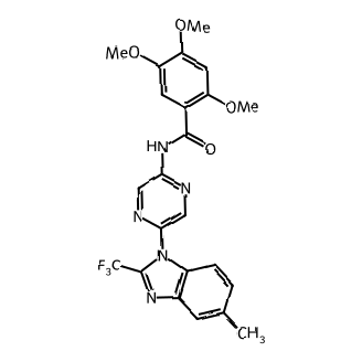 COc1cc(OC)c(C(=O)Nc2cnc(-n3c(C(F)(F)F)nc4cc(C)ccc43)cn2)cc1OC